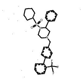 O=S(=O)(C1CCCCC1)N1CCN(Cc2ccc(-c3ccccc3C(F)(F)F)cc2)CC1c1ccccc1